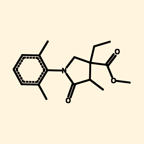 CCC1(C(=O)OC)CN(c2c(C)cccc2C)C(=O)C1C